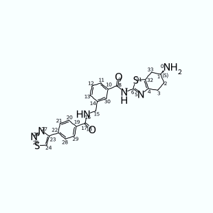 N[C@H]1CCc2nc(NC(=O)c3cccc(CNC(=O)c4ccc(-c5csnn5)cc4)c3)sc2C1